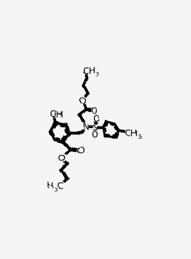 CCCCOC(=O)CN(Cc1cc(O)ccc1C(=O)OCCCC)S(=O)(=O)c1ccc(C)cc1